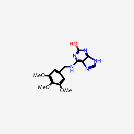 COc1cc(CNc2nc(O)nc3[nH]cnc23)cc(OC)c1OC